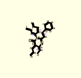 C=C/C=C\C(=C/C=C)n1c(/C=C/c2ccccc2)nc(=C/C)/c(=C\C=C)c1=O